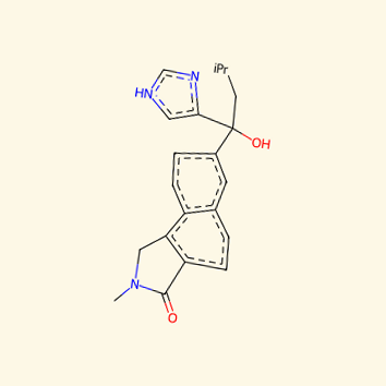 CC(C)CC(O)(c1ccc2c3c(ccc2c1)C(=O)N(C)C3)c1c[nH]cn1